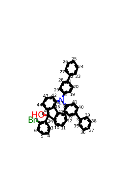 OC1(c2ccccc2Br)c2ccccc2-c2c(N(c3ccc(-c4ccccc4)cc3)c3ccc(-c4ccccc4)cc3)cccc21